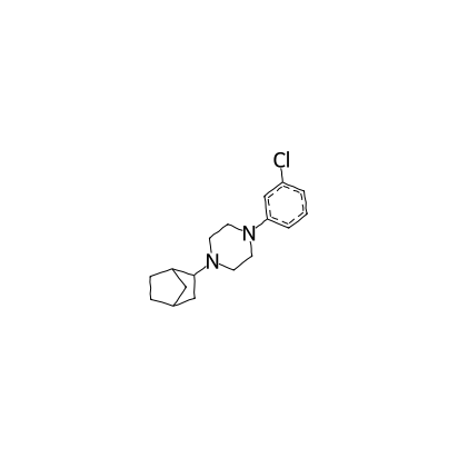 Clc1cccc(N2CCN(C3CC4CCC3C4)CC2)c1